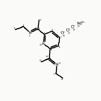 CCN=C(C)c1cccc(C(C)=NCC)n1.[Cl-].[Cl-].[Cl-].[Nd+3]